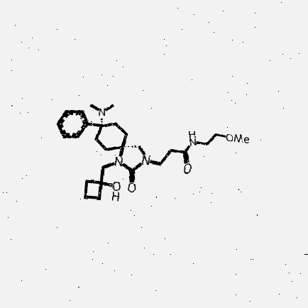 COCCNC(=O)CCN1C[C@]2(CC[C@@](c3ccccc3)(N(C)C)CC2)N(CC2(O)CCC2)C1=O